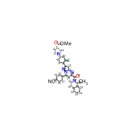 COC(=O)[C@H]1CCN(c2ccc(-c3cc4nc(C(=O)N5CCc6ccccc6[C@H]5C)cc(-c5ccc(C#N)cc5)n4n3)c(F)c2)C1